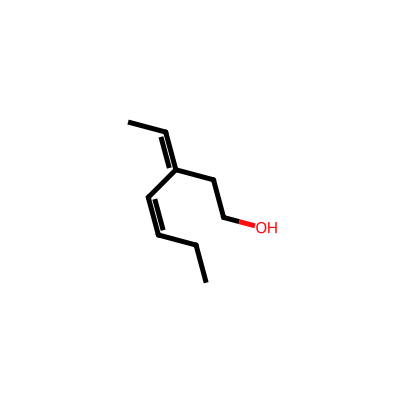 C/C=C(\C=C/CC)CCO